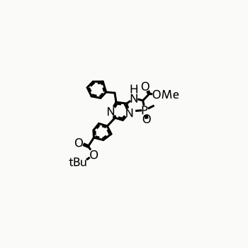 COC(=O)C(Nc1ncc(-c2ccc(C(=O)OC(C)(C)C)cc2)nc1Cc1ccccc1)P(C)(C)=O